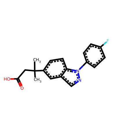 CC(C)(CC(=O)O)c1ccc2c(cnn2-c2ccc(F)cc2)c1